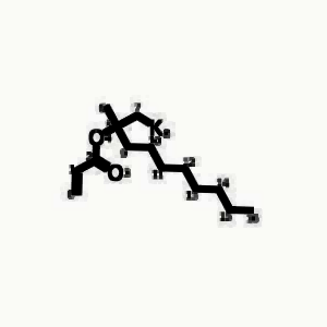 C=CC(=O)OC(C)([CH2][K])CCCCCCCC